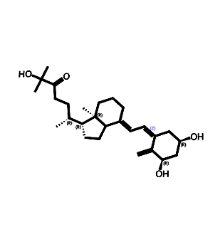 C=C1/C(=C\C=C2CCC[C@@]3(C)C2CC[C@@H]3[C@H](C)CCC(=O)C(C)(C)O)C[C@@H](O)C[C@H]1O